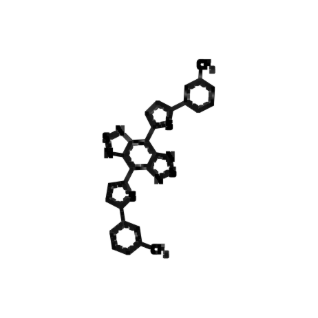 FC(F)(F)c1cccc(-c2ccc(-c3c4c(c(-c5ccc(-c6cccc(C(F)(F)F)c6)s5)c5nsnc35)N=S=N4)s2)c1